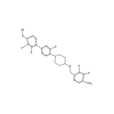 CCOc1ccc(-c2ccc(C3CCC(OCc4ccc(C)c(F)c4F)CC3)c(F)c2)c(F)c1F